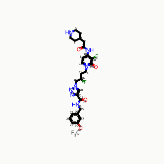 O=C(CC1CCNCC1)Nc1ccn(CCC(F)Cn2cc(C(=O)NCc3cccc(OC(F)(F)F)c3)nn2)c(=O)c1F